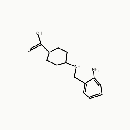 Nc1ccccc1CNC1CCN(C(=O)O)CC1